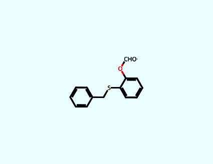 O=[C]Oc1ccccc1SCc1ccccc1